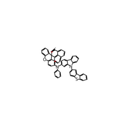 c1ccc(N(c2ccc3c(c2)C2(c4ccccc4O3)c3ccccc3-c3cccc4cccc2c34)c2ccc3c4ccccc4n(-c4ccc5sc6ccccc6c5c4)c3c2)cc1